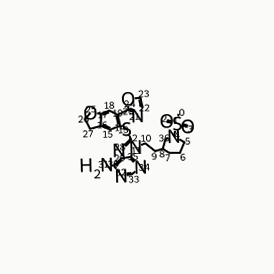 CS(=O)(=O)N1CCCC(CCn2c(Sc3cc4c(cc3-c3ncco3)OCC4)nc3c(N)ncnc32)C1